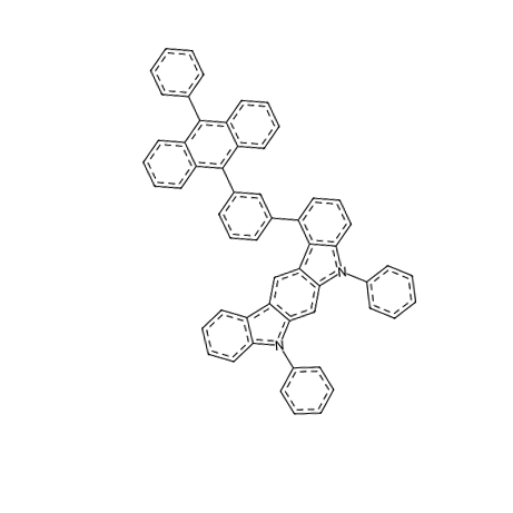 c1ccc(-c2c3ccccc3c(-c3cccc(-c4cccc5c4c4cc6c7ccccc7n(-c7ccccc7)c6cc4n5-c4ccccc4)c3)c3ccccc23)cc1